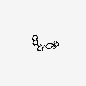 c1ccc2cc(-c3ccnc(N4CCC5(CC4)OCCO5)n3)ccc2c1